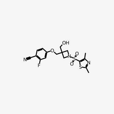 Cc1nc(C)c(S(=O)(=O)N2CC(CO)(COc3ccc(C#N)c(F)c3)C2)s1